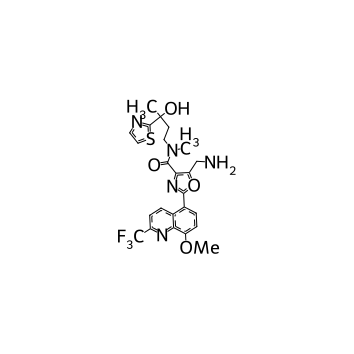 COc1ccc(-c2nc(C(=O)N(C)CCC(C)(O)c3nccs3)c(CN)o2)c2ccc(C(F)(F)F)nc12